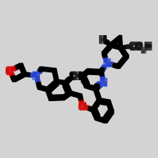 Cc1c(COc2ccccc2-c2cccc(N3CC[C@@]4(C(=O)O)C[C@H]4C3)n2)ccc2c1CCN(C1COC1)C2